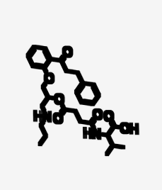 CCCNCC(COc1ccccc1C(=O)CCc1ccccc1)OC(=O)CCC(=O)NC(C(=O)O)C(C)C